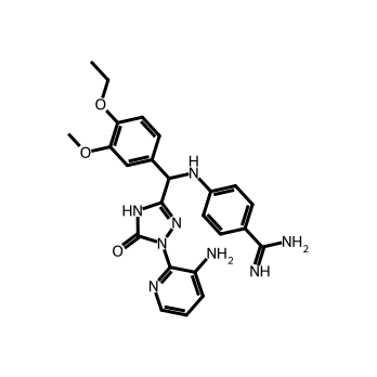 CCOc1ccc(C(Nc2ccc(C(=N)N)cc2)c2nn(-c3ncccc3N)c(=O)[nH]2)cc1OC